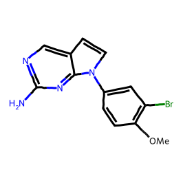 COc1ccc(-n2ccc3cnc(N)nc32)cc1Br